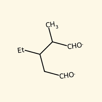 CCC(C[C]=O)C(C)[C]=O